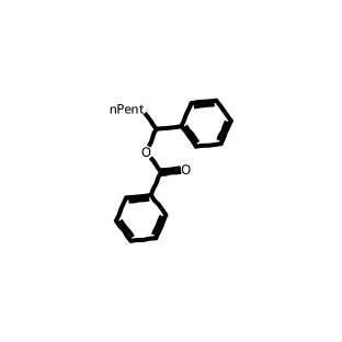 CCCCCC(OC(=O)c1ccccc1)c1ccccc1